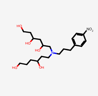 O=[N+]([O-])c1ccc(CCCN(CCC(O)CCCO)CC(O)CC(O)CCO)cc1